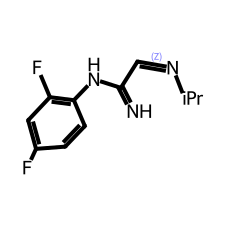 CC(C)/N=C\C(=N)Nc1ccc(F)cc1F